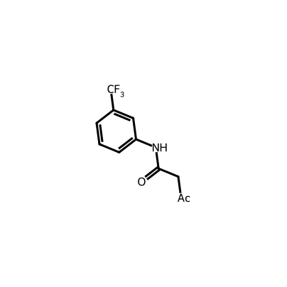 CC(=O)CC(=O)Nc1cccc(C(F)(F)F)c1